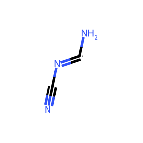 N#C/N=[C]/N